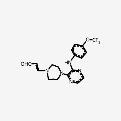 O=CC=CN1CCN(c2nccnc2Nc2ccc(OC(F)(F)F)cc2)CC1